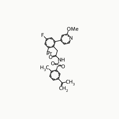 C=C(C)c1ccc(C)c(S(=O)(=O)NC(=O)Cc2c(-c3ccnc(OC)c3)cc(F)cc2C(C)C)c1